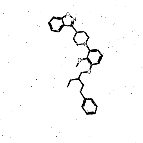 CCC(CCc1ccccc1)COc1[c]ccc(N2CCC(c3noc4ccccc34)CC2)c1OC